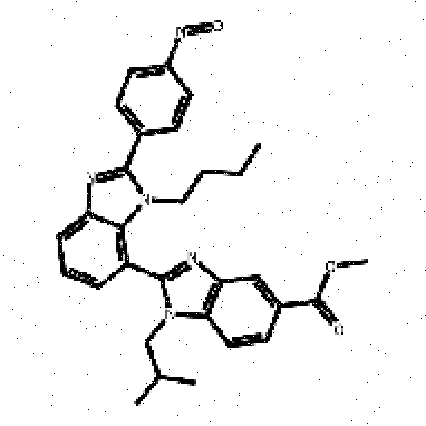 CCCCn1c(-c2ccc(N=O)cc2)nc2cccc(-c3nc4cc(C(=O)OC)ccc4n3CC(C)C)c21